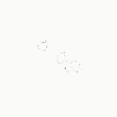 Cc1cc(OCc2ncc(F)cc2F)c(Cl)c(=O)n1-c1cc(Cl)ncc1C(F)(F)F